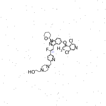 C[C@@H](Oc1ccc2c(c1)c(/C=C(\F)c1ccc(CN3CCN(CCO)CC3)nc1)nn2C1CCCCO1)c1c(Cl)cncc1Cl